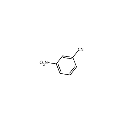 N#Cc1c[c]cc([N+](=O)[O-])c1